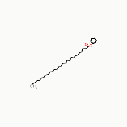 CCCCCCCCCCCCCCCCCCCCCCCCC=CCC(=O)Oc1ccccc1